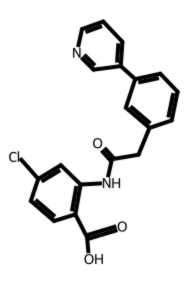 O=C(Cc1cccc(-c2cccnc2)c1)Nc1cc(Cl)ccc1C(=O)O